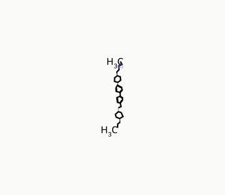 C/C=C/CC[C@H]1CC[C@H](c2ccc(-c3ccc(CC[C@H]4CC[C@H](CCCC)CC4)cc3)cc2)CC1